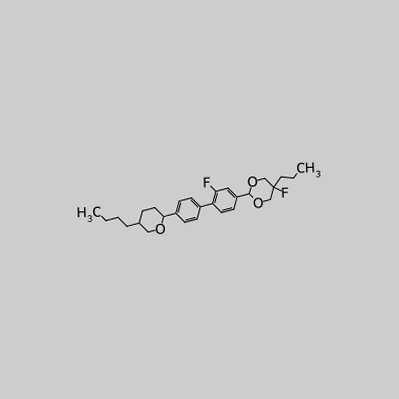 CCCCC1CCC(c2ccc(-c3ccc(C4OCC(F)(CCC)CO4)cc3F)cc2)OC1